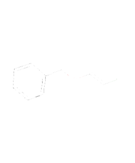 ClC=COCc1ccccc1